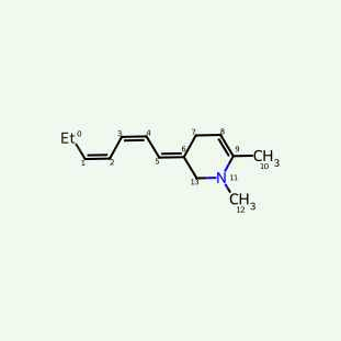 CC\C=C/C=C\C=C1/CC=C(C)N(C)C1